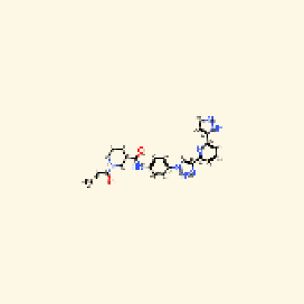 C=CC(=O)N1CCCC(C(=O)Nc2ccc(-n3cc(-c4cccc(-c5ccn[nH]5)n4)nn3)cc2)C1